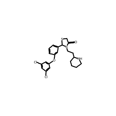 O=C1CSC(c2cccc(Oc3cc(Cl)cc(Cl)c3)c2)N1CCC1CCCCN1